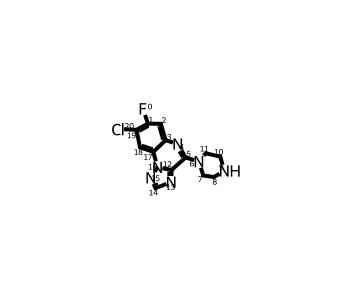 Fc1cc2nc(N3CCNCC3)c3ncnn3c2cc1Cl